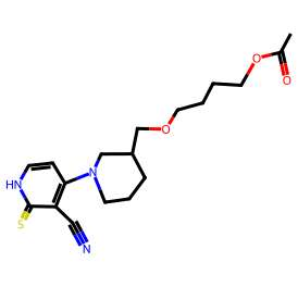 CC(=O)OCCCCOCC1CCCN(c2cc[nH]c(=S)c2C#N)C1